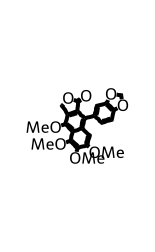 COc1cc2c(-c3ccc4c(c3)OCO4)c3c(c(OC)c2c(OC)c1OC)COC3=O